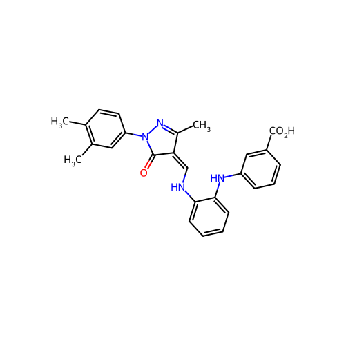 CC1=NN(c2ccc(C)c(C)c2)C(=O)/C1=C\Nc1ccccc1Nc1cccc(C(=O)O)c1